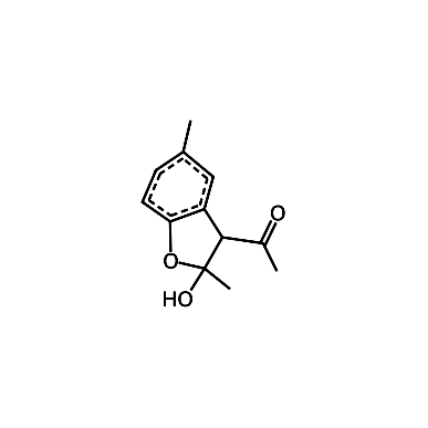 CC(=O)C1c2cc(C)ccc2OC1(C)O